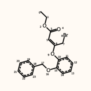 CCOC(=O)C=C(CBr)Oc1ccccc1OCc1ccccc1